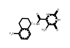 Nc1c(C(=O)N[C@H]2CCCc3c2cccc3C(F)(F)F)[nH]c(=O)[nH]c1=O